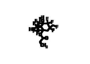 C=CC(=O)OC12CC(F)(CF)C(F)(F)C(O)(C(F)(F)C(O)(F)C1(F)F)C2(F)F